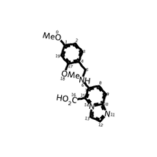 COc1ccc(CNc2ccc3nccn3c2C(=O)O)c(OC)c1